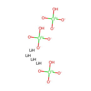 [LiH].[LiH].[LiH].[LiH].[O-][Cl+3]([O-])([O-])O.[O-][Cl+3]([O-])([O-])O.[O-][Cl+3]([O-])([O-])O